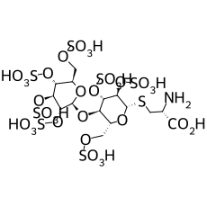 N[C@@H](CS[C@@H]1O[C@H](COS(=O)(=O)O)[C@@H](O[C@@H]2O[C@H](COS(=O)(=O)O)[C@@H](OS(=O)(=O)O)[C@H](OS(=O)(=O)O)[C@H]2OS(=O)(=O)O)[C@H](OS(=O)(=O)O)[C@H]1OS(=O)(=O)O)C(=O)O